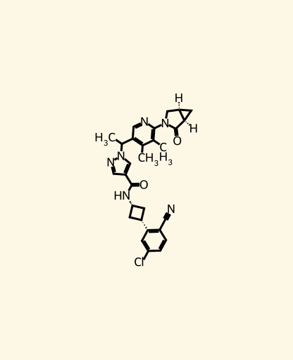 Cc1c(C(C)n2cc(C(=O)N[C@H]3C[C@@H](c4cc(Cl)ccc4C#N)C3)cn2)cnc(N2C[C@H]3C[C@H]3C2=O)c1C